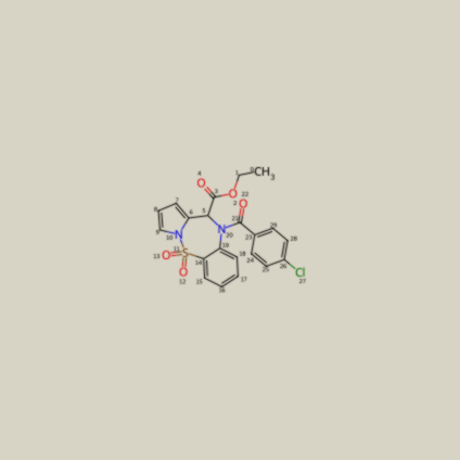 CCOC(=O)C1c2cccn2S(=O)(=O)c2ccccc2N1C(=O)c1ccc(Cl)cc1